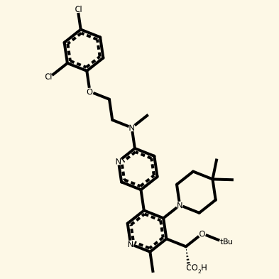 Cc1ncc(-c2ccc(N(C)CCOc3ccc(Cl)cc3Cl)nc2)c(N2CCC(C)(C)CC2)c1[C@H](OC(C)(C)C)C(=O)O